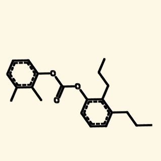 CCCc1cccc(OC(=O)Oc2cccc(C)c2C)c1CCC